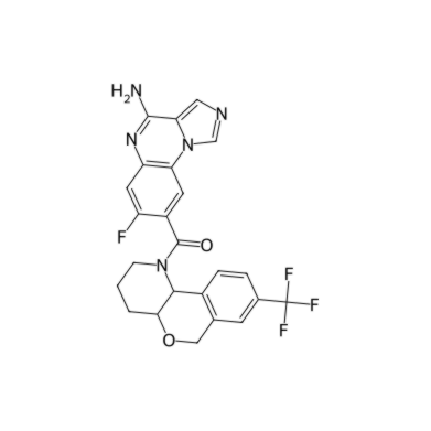 Nc1nc2cc(F)c(C(=O)N3CCCC4OCc5cc(C(F)(F)F)ccc5C43)cc2n2cncc12